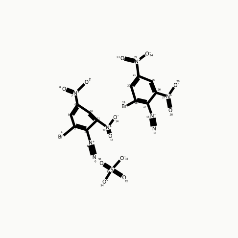 N#[N+]c1c(Br)cc([N+](=O)[O-])cc1[N+](=O)[O-].N#[N+]c1c(Br)cc([N+](=O)[O-])cc1[N+](=O)[O-].O=S(=O)([O-])[O-]